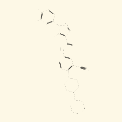 Cc1c(C(=O)Nc2ccc(N3CCC(N4CCOCC4)CC3)c(C#N)c2)cnn1-c1ccc(F)c(F)c1